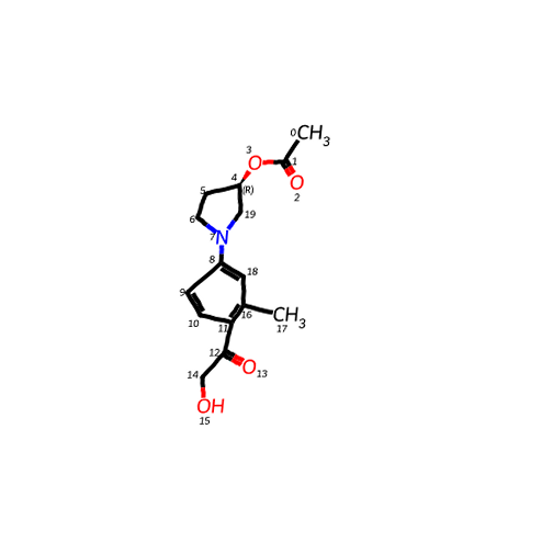 CC(=O)O[C@@H]1CCN(c2ccc(C(=O)CO)c(C)c2)C1